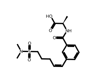 C[C@@H](NC(=O)c1cccc(/C=C\CCCS(=O)(=O)N(C)C)c1)C(=O)O